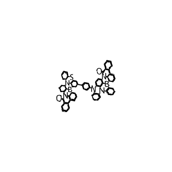 O=c1c2ccccc2c2cccc3c2n1-c1cccc2c1B3c1cc(-c3ccc(N4c5ccccc5N5c6ccccc6B6c7c(ccc4c75)-n4c(=O)c5ccccc5c5cccc6c54)cc3)cc3c1N2c1ccccc1S3